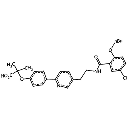 CCCCOc1ccc(Cl)cc1C(=O)NCCc1ccc(-c2ccc(OC(C)(C)C(=O)O)cc2)nc1